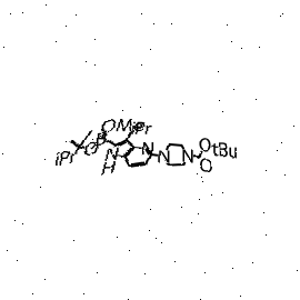 COB(OC(C)(C)C(C)C)c1[nH]c2ccc(N3CCN(C(=O)OC(C)(C)C)CC3)nc2c1C(C)C